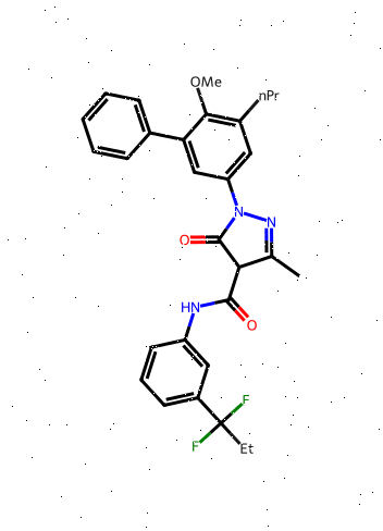 CCCc1cc(N2N=C(C)C(C(=O)Nc3cccc(C(F)(F)CC)c3)C2=O)cc(-c2ccccc2)c1OC